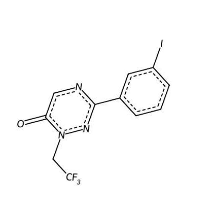 O=c1cnc(-c2cccc(I)c2)nn1CC(F)(F)F